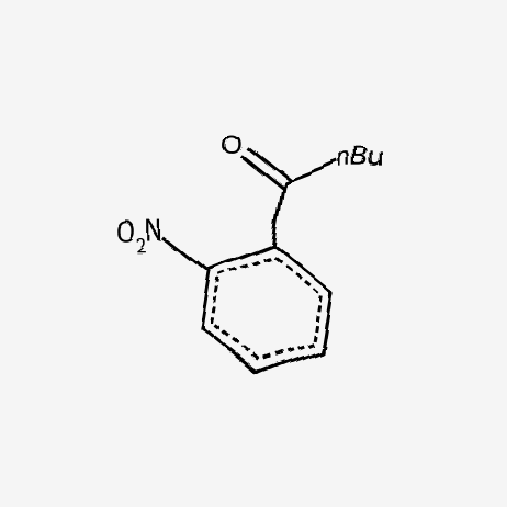 CCCCC(=O)c1ccccc1[N+](=O)[O-]